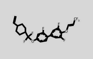 C=CC1CCC(C(F)(F)Oc2ccc(-c3cc(F)c(O/C=C/C(F)(F)F)c(F)c3)c(F)c2)CC1